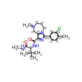 CNC(=O)C(NC(=O)c1nc(-c2ccc(C)c(Cl)c2)n2c1CN(C)CCC2)C(C)(C)C